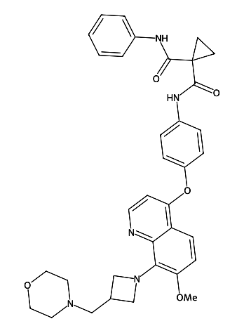 COc1ccc2c(Oc3ccc(NC(=O)C4(C(=O)Nc5ccccc5)CC4)cc3)ccnc2c1N1CC(CN2CCOCC2)C1